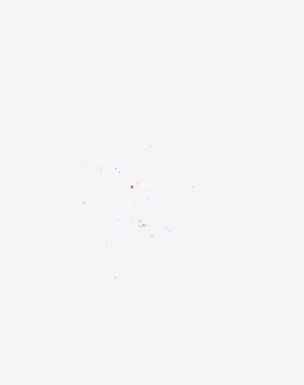 CN(CCC=O)c1cc(Cl)nnc1N[C@@H]1C[C@H]2CC[C@@H](C1)N2C(=O)OC(C)(C)C